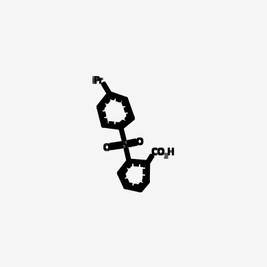 CC(C)c1ccc(S(=O)(=O)c2ccccc2C(=O)O)cc1